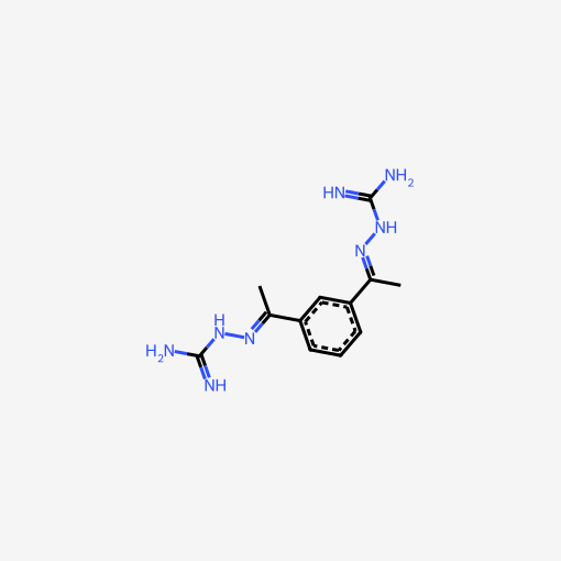 CC(=NNC(=N)N)c1cccc(C(C)=NNC(=N)N)c1